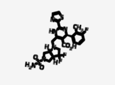 Cc1c(F)cccc1[C@@H]1N=C(c2nccs2)NC(CN2CC(F)(F)[C@@H]3CN(S(N)(=O)=O)C[C@@H]32)=C1C(=O)O